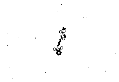 CC(C)(C)OC(=O)N1CCO[C@H](CCCCCN2C(=O)c3ccccc3C2=O)C1